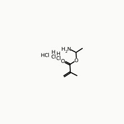 C=C(C)C(=O)OC(C)N.Cl.Cl.Cl